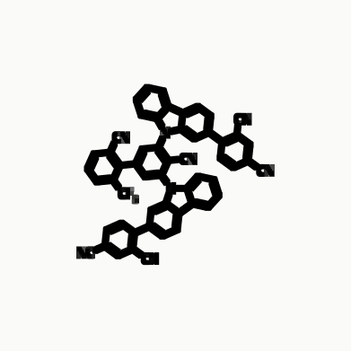 N#Cc1ccc(-c2ccc3c4ccccc4n(-c4cc(-c5c(C#N)cccc5C(F)(F)F)cc(-n5c6ccccc6c6ccc(-c7ccc(C#N)cc7C#N)cc65)c4C#N)c3c2)c(C#N)c1